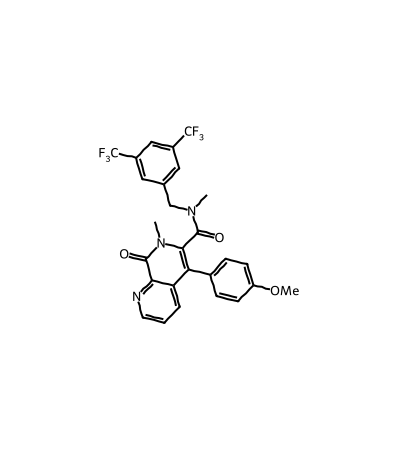 COc1ccc(-c2c(C(=O)N(C)Cc3cc(C(F)(F)F)cc(C(F)(F)F)c3)n(C)c(=O)c3ncccc23)cc1